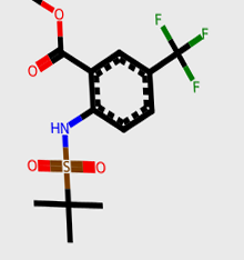 COC(=O)c1cc(C(F)(F)F)ccc1NS(=O)(=O)C(C)(C)C